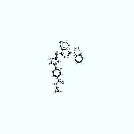 N[C@@H](C(=O)N1CCNC[C@H]1C(=O)Nc1nc(-c2ccc(C(=O)NC3CC3)cc2)cs1)c1ccccc1